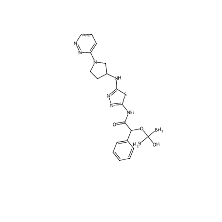 BC(B)(O)OC(C(=O)Nc1nnc(NC2CCN(c3cccnn3)C2)s1)c1ccccc1